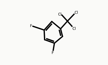 Fc1cc(F)cc(C(Cl)(Cl)Cl)c1